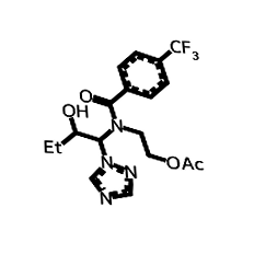 CCC(O)C(N(CCOC(C)=O)C(=O)c1ccc(C(F)(F)F)cc1)n1cncn1